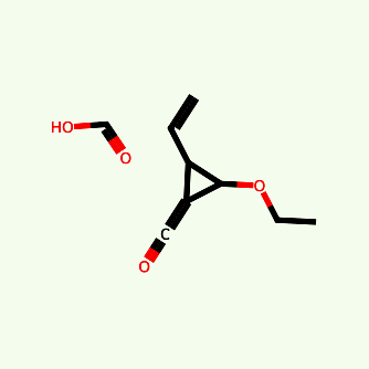 C=CC1C(=C=O)C1OCC.O=CO